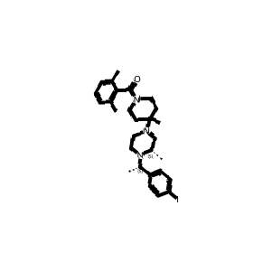 Cc1cccc(C)c1C(=O)N1CCC(C)(N2CCN([C@@H](C)c3ccc(I)cc3)[C@@H](C)C2)CC1